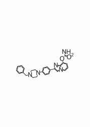 NC(=O)Oc1cccn2cc(-c3ccc(N4CCN(Cc5ccccc5)CC4)cc3)nc12